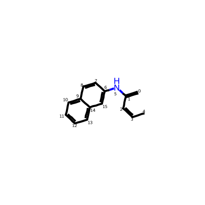 C=C(/C=C\C)Nc1ccc2ccccc2c1